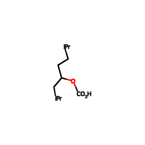 CC(C)CCC(CC(C)C)OC(=O)O